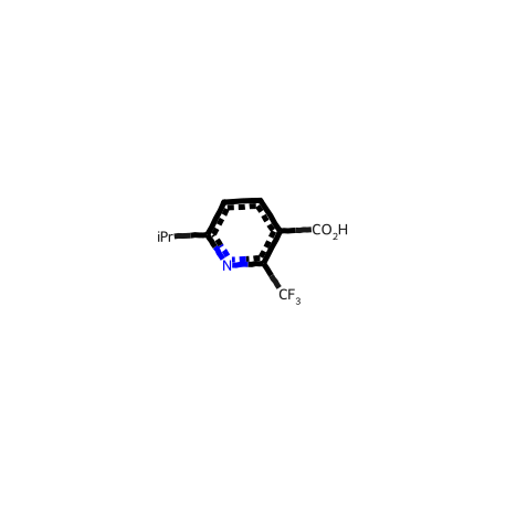 CC(C)c1ccc(C(=O)O)c(C(F)(F)F)n1